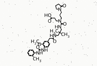 COc1cc(CC(=O)NCC(C)(C)CNC(=O)N(CCCN2CCCC2=O)CCC(=O)O)ccc1NC(=O)Nc1ccccc1C